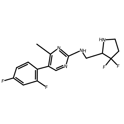 Cc1nc(NCC2NCCC2(F)F)ncc1-c1ccc(F)cc1F